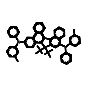 Cc1cccc(N(c2ccccc2)c2ccc3c4c(c5ccccc5c3c2)-c2c(cc(N(c3ccccc3)c3cccc(C)c3)c3ccccc23)C4(C(C)(C)C)C(C)(C)C)c1